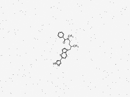 CC(CCN(C)C(=O)c1ccccc1)Cn1ccc2nc(-c3cn[nH]c3)ccc21